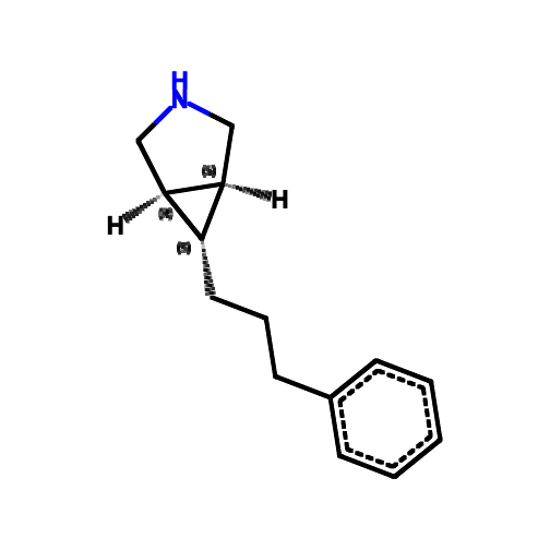 c1ccc(CCC[C@@H]2[C@H]3CNC[C@@H]23)cc1